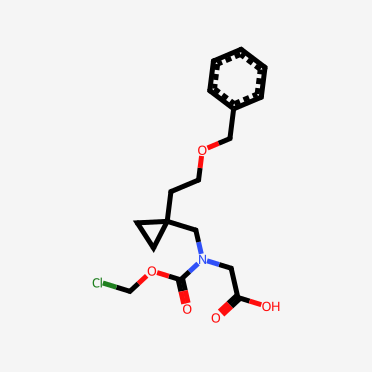 O=C(O)CN(CC1(CCOCc2ccccc2)CC1)C(=O)OCCl